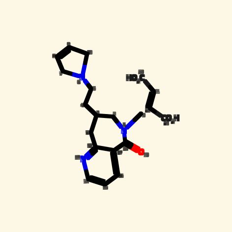 CN1CC(CCN2CC=CC2)Cc2ncccc2C1=O.O=C(O)/C=C/C(=O)O